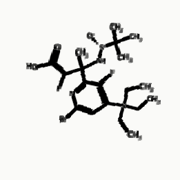 CC[Si](CC)(CC)c1cc(Br)nc(C(C)(N[S@+]([O-])C(C)(C)C)C(F)C(=O)O)c1F